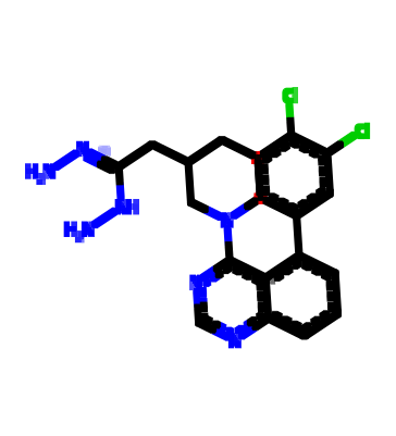 N/N=C(/CC1CCCN(c2ncnc3cccc(-c4ccc(Cl)c(Cl)c4)c23)C1)NN